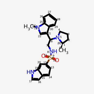 C[C@@H]1CCCN1C(CNS(=O)(=O)c1ccc2cc[nH]c2c1)c1cn(C)c2ccccc12